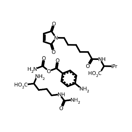 CC(C)C(NC(=O)CCCCCN1C(=O)C=CC1=O)C(=O)O.NC(=O)NCCCC(N)C(=O)O.NC(=O)OC(=O)c1ccc(N)cc1